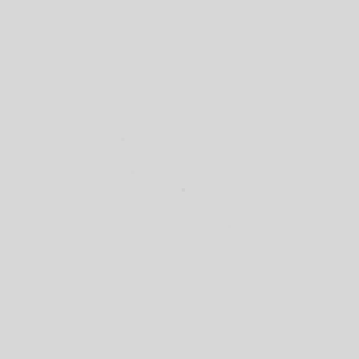 O=C(O)N[C@H]1CCOc2c(C(=O)Nc3cccc(Cl)c3)cccc21